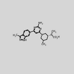 Cc1n[nH]c2cc(-c3cc(N4C[C@H](C)C[C@@H](N(C)C(=O)O)C4)nc(N)n3)ccc12